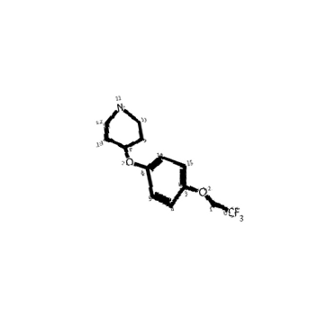 FC(F)(F)COc1ccc(OC2CC[N]CC2)cc1